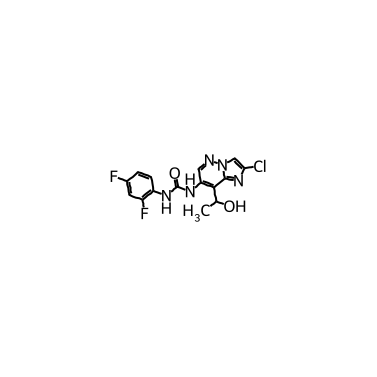 CC(O)c1c(NC(=O)Nc2ccc(F)cc2F)cnn2cc(Cl)nc12